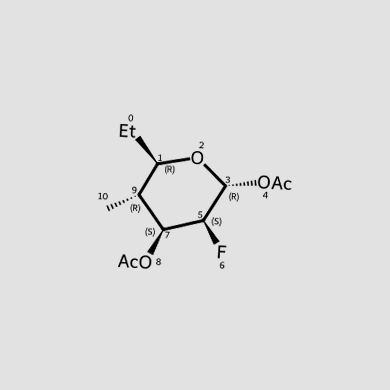 CC[C@H]1O[C@H](OC(C)=O)[C@@H](F)[C@@H](OC(C)=O)[C@@H]1C